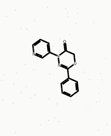 O=C1COC(c2ccccc2)=NN1c1cccnc1